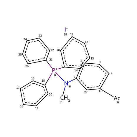 CC(=O)c1cccc(N(C)[P+](c2ccccc2)(c2ccccc2)c2ccccc2)c1.[I-]